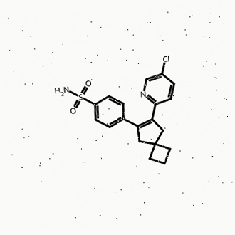 NS(=O)(=O)c1ccc(C2=C(c3ccc(Cl)cn3)CC3(CCC3)C2)cc1